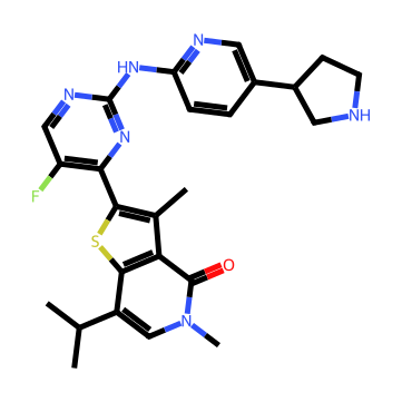 Cc1c(-c2nc(Nc3ccc(C4CCNC4)cn3)ncc2F)sc2c(C(C)C)cn(C)c(=O)c12